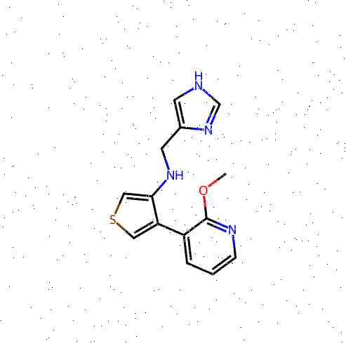 COc1ncccc1-c1cscc1NCc1c[nH]cn1